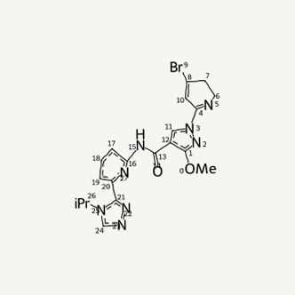 COc1nn(C2=NCCC(Br)=C2)cc1C(=O)Nc1cccc(-c2nncn2C(C)C)n1